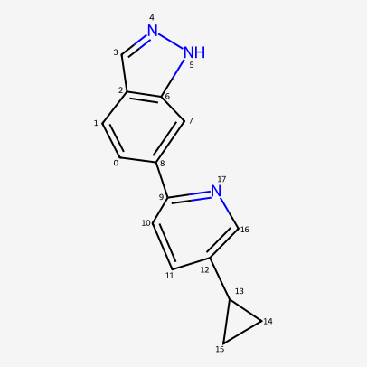 c1cc2cn[nH]c2cc1-c1ccc(C2CC2)cn1